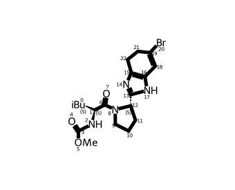 CC[C@H](C)[C@H](NC(=O)OC)C(=O)N1CCC[C@H]1c1nc2c([nH]1)C=C(Br)CC2